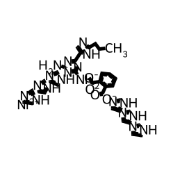 CCCc1ncc(-c2nc(N)nc(N)n2)[nH]1.O=C([O-])c1ccccc1C(=O)[O-].[Ni+2].c1c[nH]cn1.c1c[nH]cn1.c1c[nH]cn1.c1c[nH]cn1.c1c[nH]cn1.c1c[nH]cn1